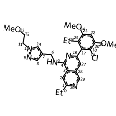 CCc1cc2c(NCc3cnn(CCOC)c3)nc(-c3c(Cl)c(OC)cc(OC)c3CC)cc2cn1